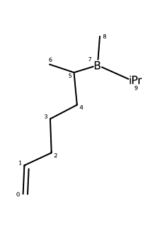 C=CCCCC(C)B(C)C(C)C